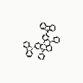 c1ccc(B2c3cc(-n4c5ccccc5c5ccccc54)ccc3N3c4ccc(-n5c6ccccc6c6ccccc65)cc4B(c4ccccc4)c4cccc2c43)cc1